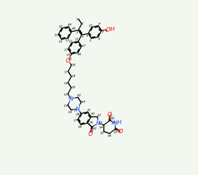 CC/C(=C(\c1ccc(O)cc1)c1ccc(OCCCCCCN2CCN(c3ccc4c(c3)CN(C3CCC(=O)NC3=O)C4=O)CC2)cc1)c1ccccc1